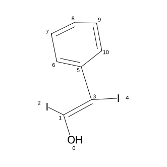 OC(I)=C(I)c1ccccc1